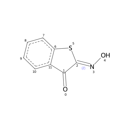 O=C1/C(=N/O)Sc2ccccc21